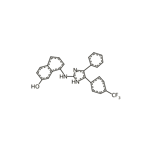 Oc1ccc2cccc(Nc3nc(-c4ccccc4)c(-c4ccc(C(F)(F)F)cc4)[nH]3)c2c1